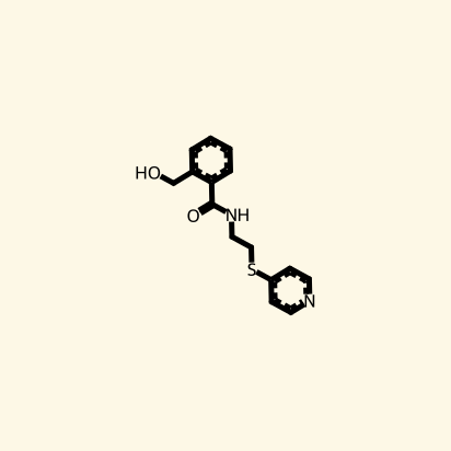 O=C(NCCSc1ccncc1)c1ccccc1CO